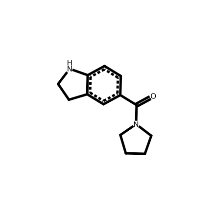 O=C(c1ccc2c(c1)CCN2)N1CCCC1